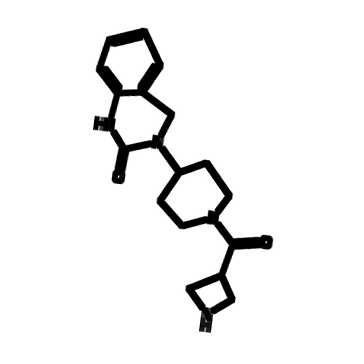 O=C(C1CNC1)N1CCC(N2Cc3ccccc3NC2=O)CC1